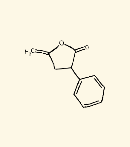 C=C1CC(c2ccccc2)C(=O)O1